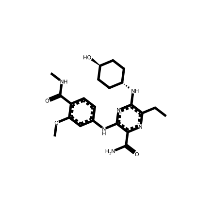 CCc1nc(C(N)=O)c(Nc2ccc(C(=O)NC)c(OC)c2)nc1N[C@H]1CC[C@H](O)CC1